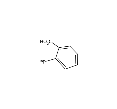 O=C(O)c1ccccc1[18F]